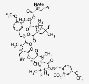 CN[C@@H](CC(C)C)C(=O)O[C@H](C)C(=O)N(C)[C@@H](CC(C)(C)F)C(=O)O[C@H](Cc1ccc(OC(F)(F)F)cc1)C(=O)N(C)[C@H](CC(C)C)C(=O)O[C@H](C)C(=O)N(C)[C@@H](CC(C)(C)F)C(=O)O[C@H](Cc1ccc(OC(F)(F)F)cc1)C(=O)O